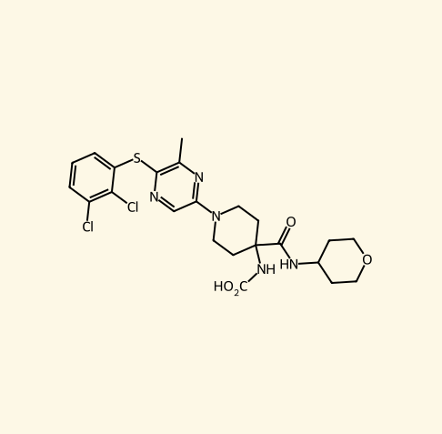 Cc1nc(N2CCC(NC(=O)O)(C(=O)NC3CCOCC3)CC2)cnc1Sc1cccc(Cl)c1Cl